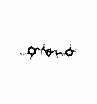 COc1ccc(CNC(=O)C2CC3(NC(=O)COc4ccc(Cl)c(F)c4)CC2C3)cc1F